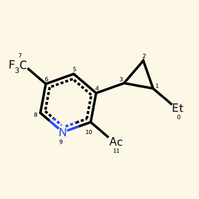 CCC1CC1c1cc(C(F)(F)F)cnc1C(C)=O